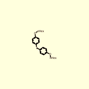 CCCCCCOc1ccc([I+]c2ccc(OCCCCCC)cc2)cc1